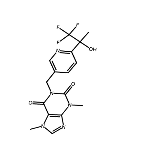 Cn1cnc2c1c(=O)n(Cc1ccc(C(C)(O)C(F)(F)F)nc1)c(=O)n2C